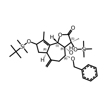 C=C1C[C@@H](OCc2ccccc2)[C@@]2(O)[C@@H](OC(=O)[C@@]2(C)O[Si](C)(C)C)C2=C(C)C(O[Si](C)(C)C(C)(C)C)C[C@H]12